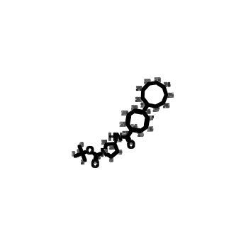 CC(C)(C)OC(=O)N1CC[C@@H](NC(=O)C2=C/C=C\C(C3CCCCCCCC3)=C/C=C\2)C1